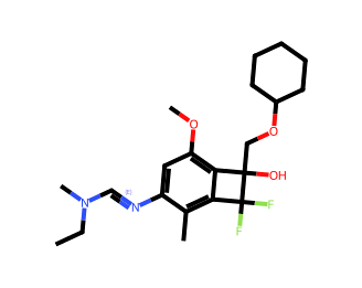 CCN(C)/C=N/c1cc(OC)c2c(c1C)C(F)(F)C2(O)COC1CCCCC1